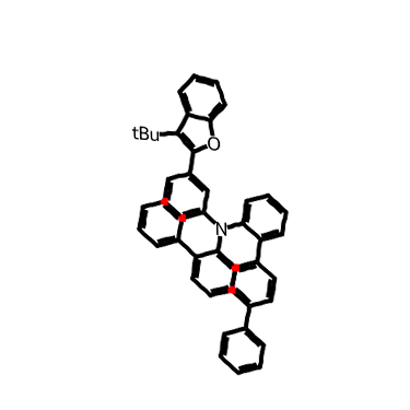 CC(C)(C)c1c(-c2cccc(N(c3ccccc3-c3ccccc3)c3ccccc3-c3ccc(-c4ccccc4)cc3)c2)oc2ccccc12